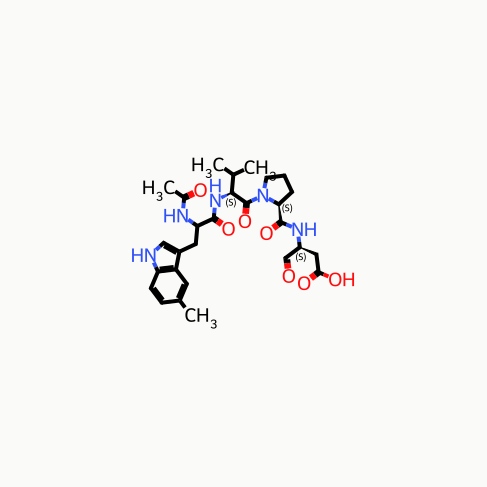 CC(=O)NC(Cc1c[nH]c2ccc(C)cc12)C(=O)N[C@H](C(=O)N1CCC[C@H]1C(=O)N[C@H](C=O)CC(=O)O)C(C)C